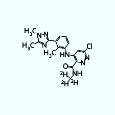 [2H]C([2H])([2H])NC(=O)c1nnc(Cl)cc1Nc1cccc(-c2nc(C)n(C)n2)c1C